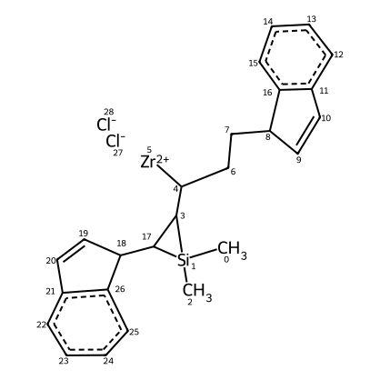 C[Si]1(C)C([CH]([Zr+2])CCC2C=Cc3ccccc32)C1C1C=Cc2ccccc21.[Cl-].[Cl-]